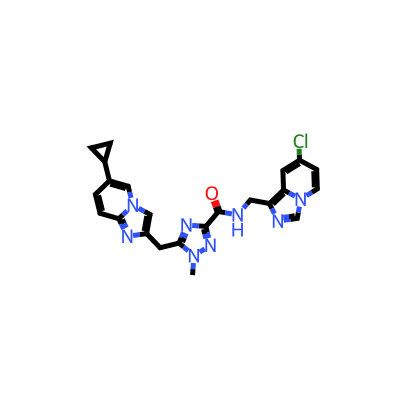 Cn1nc(C(=O)NCc2ncn3ccc(Cl)cc23)nc1Cc1cn2cc(C3CC3)ccc2n1